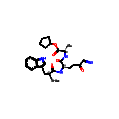 CCC(C)[C@H](NC(=O)[C@H](CCC(=O)C=N)NC(=O)[C@H](Cc1c[nH]c2ccccc12)NC(C)=O)C(=O)OC1CCCC1